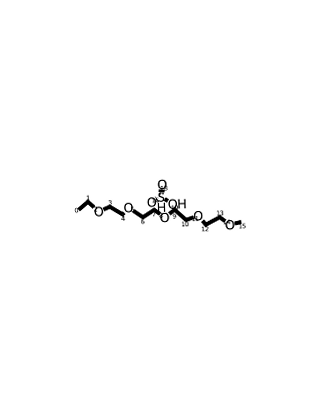 CCOCCOCCOCCOCCOC.O=[SH](=O)O